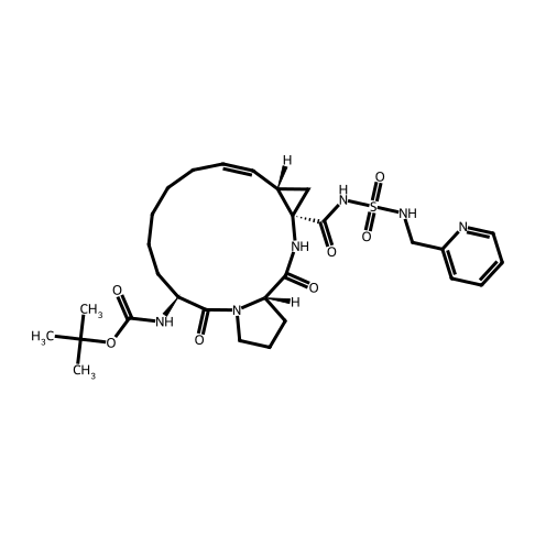 CC(C)(C)OC(=O)N[C@H]1CCCCC/C=C\[C@@H]2C[C@@]2(C(=O)NS(=O)(=O)NCc2ccccn2)NC(=O)[C@@H]2CCCN2C1=O